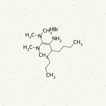 Br.CCCCC(CCCC)C(N)=C(N(C)C)N(C)C